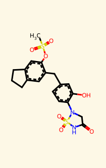 CS(=O)(=O)Oc1cc2c(cc1Cc1ccc(N3CC(=O)NS3(=O)=O)c(O)c1)CCC2